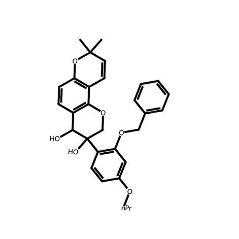 CCCOc1ccc(C2(O)COc3c(ccc4c3C=CC(C)(C)O4)C2O)c(OCc2ccccc2)c1